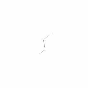 OCCO.[Si]